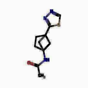 CC(=O)NC12CCC(c3nncs3)(C1)C2